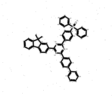 CC1(C)c2ccccc2-c2ccc(-c3nc(-c4ccc(-c5ccccc5)cc4)nc(-c4ccc(P(=O)(c5ccccc5)c5ccccc5)cc4)n3)cc21